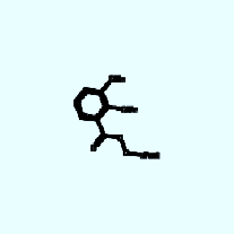 [CH2]CCCCOOC(=O)c1cccc(OC)c1OC